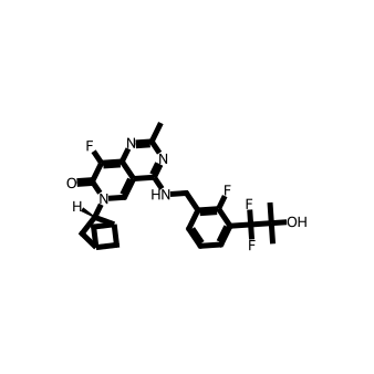 Cc1nc(NCc2cccc(C(F)(F)C(C)(C)O)c2F)c2cn([C@H]3CC4CC3C4)c(=O)c(F)c2n1